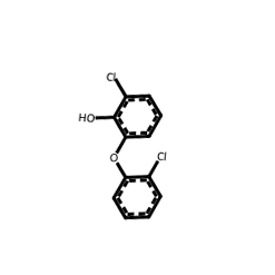 Oc1c(Cl)cccc1Oc1ccccc1Cl